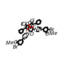 COc1cc(N2CCN(C(Cn3nc(-c4ccccc4)c(Cl)c3C(F)(F)F)C(=O)C(Cn3nc(-c4ccccc4)c(Cl)c3C(F)(F)F)N3CCN(c4ccc(Br)c(OC)c4)CC3)CC2)ccc1Br